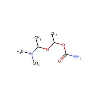 CC(OC(N)=O)OC(C)N(C)C